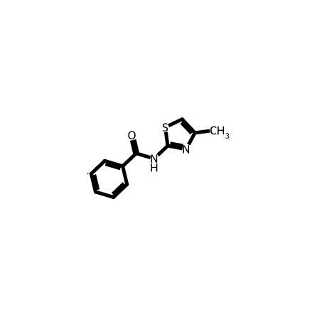 Cc1csc(NC(=O)c2c[c]ccc2)n1